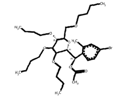 CCCCOCC1O[C@H]([C@H](OC(C)=O)c2ccc(Br)cc2C)C(OCCCC)C(OCCCC)[C@@H]1OCCCC